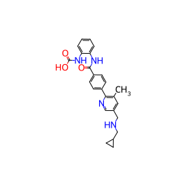 Cc1cc(CNCC2CC2)cnc1-c1ccc(C(=O)Nc2ccccc2NC(=O)O)cc1